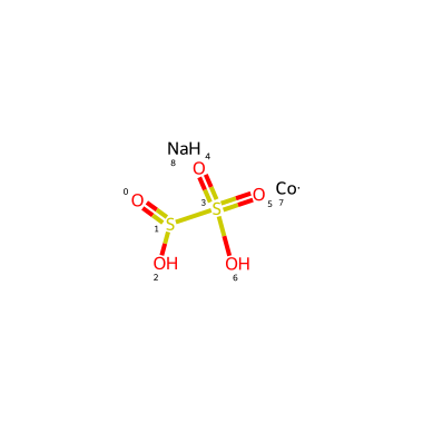 O=S(O)S(=O)(=O)O.[Co].[NaH]